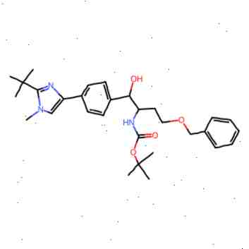 Cn1cc(-c2ccc(C(O)C(CCOCc3ccccc3)NC(=O)OC(C)(C)C)cc2)nc1C(C)(C)C